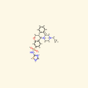 O=S(=O)(Nc1ncns1)c1ccc2c(c1)OCCC2N1CCN(CC(F)(F)F)CC1c1ccccc1